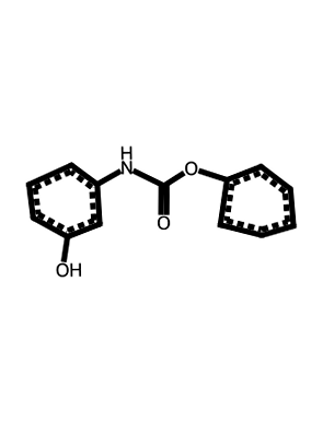 O=C(Nc1cccc(O)c1)Oc1ccccc1